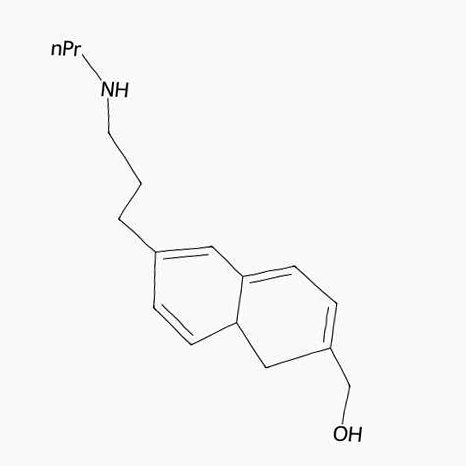 CCCNCCCC1=CC2=CC=C(CO)CC2C=C1